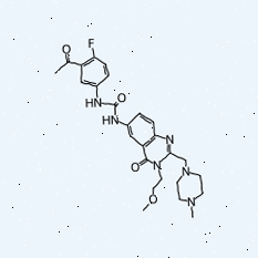 COCCn1c(CN2CCN(C)CC2)nc2ccc(NC(=O)Nc3ccc(F)c(C(C)=O)c3)cc2c1=O